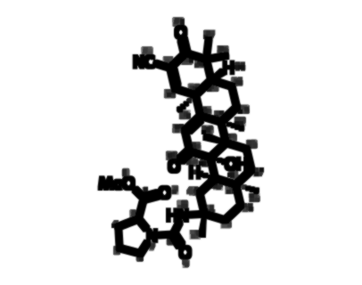 COC(=O)C1CCCN1C(=O)N[C@@]1(C)CC[C@]2(C)CC[C@@]3(C)[C@]4(C)CC[C@H]5C(C)(C)C(=O)C(C#N)=C[C@]5(C)C4=CC(=O)[C@]3(O)[C@@H]2C1